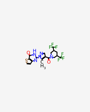 Cc1c(C(=O)N2CC(C(F)(F)F)CC(C(F)(F)F)C2)cnn1-c1nc2ccsc2c(=O)[nH]1